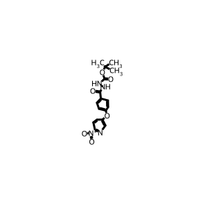 CC(C)(C)OC(=O)NNC(=O)c1ccc(Oc2ccc([N+](=O)[O-])nc2)cc1